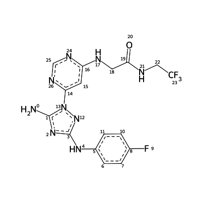 Nc1nc(Nc2ccc(F)cc2)nn1-c1cc(NCC(=O)NCC(F)(F)F)ncn1